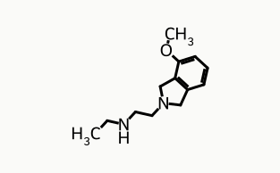 CCNCCN1Cc2cccc(OC)c2C1